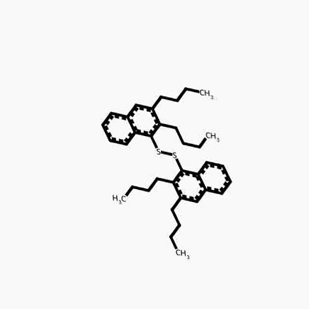 CCCCc1cc2ccccc2c(SSc2c(CCCC)c(CCCC)cc3ccccc23)c1CCCC